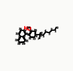 CCCCCCC(C)(C)c1ccc(-c2cccc3ccccc23)c(O)c1